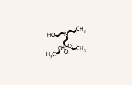 CCCN(CCO)CCP(=O)(OCC)OCC